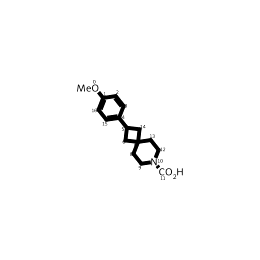 COc1ccc(C2CC3(CCN(C(=O)O)CC3)C2)cc1